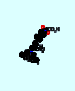 CC1(C)c2ccccc2-c2ccc(N(c3ccc4c(c3)C(C)(C)c3cc(-c5ccc6c7ccc8c9c(ccc(c%10cccc5c%106)c97)C(=O)N(CC(=O)O)C8=O)ccc3-4)c3ccc4c(c3)C(C)(C)C3C=CC=CC43)cc21